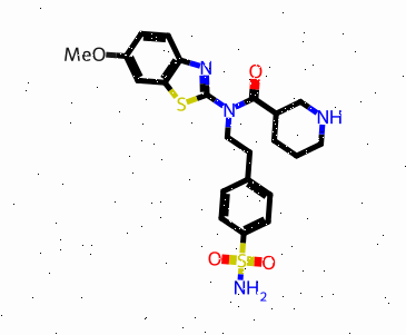 COc1ccc2nc(N(CCc3ccc(S(N)(=O)=O)cc3)C(=O)C3CCCNC3)sc2c1